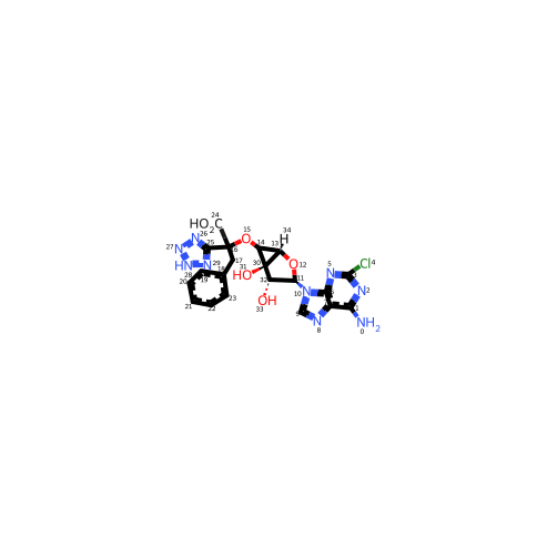 Nc1nc(Cl)nc2c1ncn2[C@@H]1O[C@@H]2C(OC(Cc3ccccc3)(C(=O)O)c3nn[nH]n3)[C@@]2(O)[C@H]1O